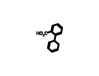 O=C(O)c1ccccc1C1C=CC=CC1